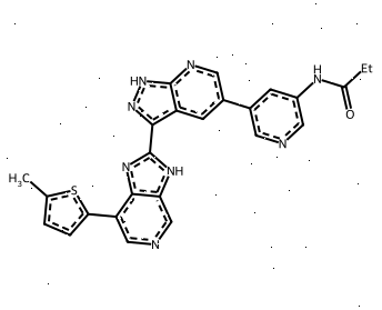 CCC(=O)Nc1cncc(-c2cnc3[nH]nc(-c4nc5c(-c6ccc(C)s6)cncc5[nH]4)c3c2)c1